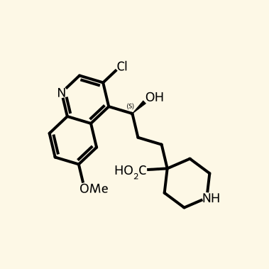 COc1ccc2ncc(Cl)c([C@@H](O)CCC3(C(=O)O)CCNCC3)c2c1